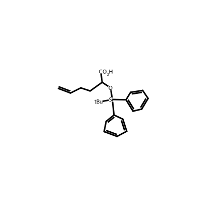 C=CCCC(O[Si](c1ccccc1)(c1ccccc1)C(C)(C)C)C(=O)O